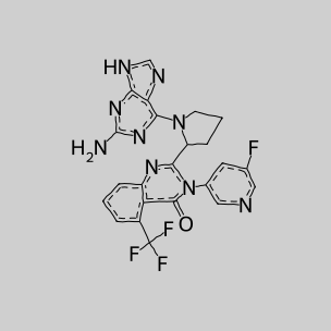 Nc1nc(N2CCCC2c2nc3cccc(C(F)(F)F)c3c(=O)n2-c2cncc(F)c2)c2nc[nH]c2n1